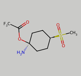 CS(=O)(=O)[C@H]1CC[C@@](N)(OC(=O)C(F)(F)F)CC1